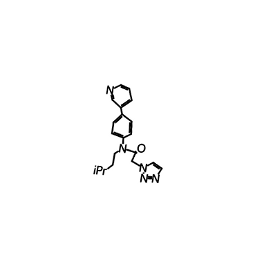 CC(C)CCN(C(=O)Cn1ccnn1)c1ccc(-c2cccnc2)cc1